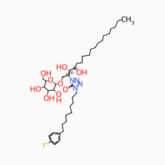 CCCCCCCCCCCCCC[C@@H](O)[C@@H](O)[C@H](COC1OC(CO)C(O)C(O)C1O)n1nnn(CCCCCCCCCc2ccc(F)cc2)c1=O